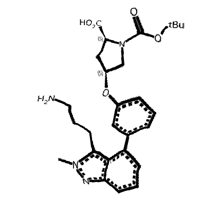 Cn1nc2cccc(-c3cccc(O[C@H]4C[C@@H](C(=O)O)N(C(=O)OC(C)(C)C)C4)c3)c2c1CCCN